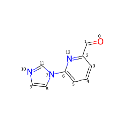 O=Cc1cccc(-n2ccnc2)n1